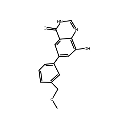 COCc1cccc(-c2cc(O)c3nc[nH]c(=O)c3c2)c1